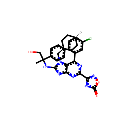 CC(CO)(Nc1nc2nc(-c3noc(=O)[nH]3)nc(-c3cccc(Cl)c3)c2n1C[C@H]1CC[C@H](C)CC1)c1ccccc1